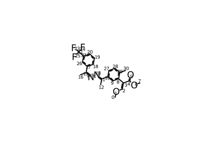 CO/C=C(/C(=O)OC)c1cc(/C(C)=N/N=C(/C)c2cccc(C(F)(F)F)c2)ccc1C